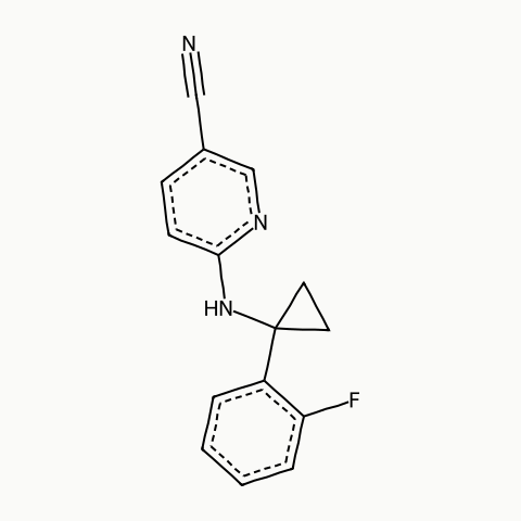 N#Cc1ccc(NC2(c3ccccc3F)CC2)nc1